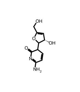 NC1=NC(=O)C(C2OC(CO)=C[C@@H]2O)C=C1